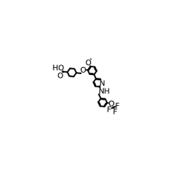 COc1ccc(-c2ccc(NCc3cccc(OC(F)(F)F)c3)nc2)cc1OCC1CCC(C(=O)O)CC1